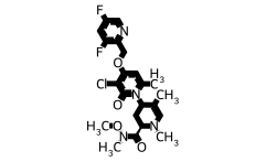 CON(C)C(=O)[C@H]1CC(n2c(C)cc(OCc3ncc(F)cc3F)c(Cl)c2=O)C(C)=CN1C